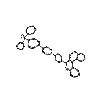 O=P(c1ccccc1)(c1ccccc1)c1ccc(-c2ccc(-c3ccc(-c4nc5ccccc5c5c4ccc4ccccc45)cc3)cc2)cc1